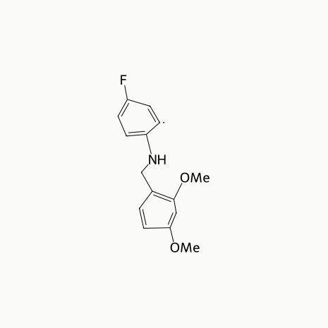 COc1ccc(CNc2[c]cc(F)cc2)c(OC)c1